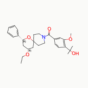 CCO[C@@H]1C[C@H](c2ccccc2)OC2(CCN(C(=O)c3ccc(C(C)(C)O)c(OC)c3)CC2)C1